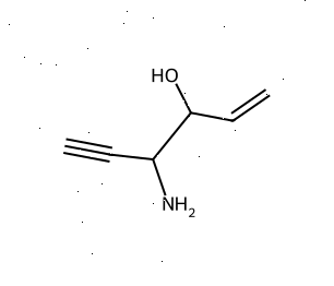 C#CC(N)C(O)C=C